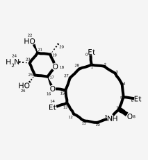 CCC1CCCC(CC)C(=O)NCCCC(CC)C(O[C@@H]2O[C@@H](C)[C@H](O)[C@@H](N)[C@H]2O)CC1